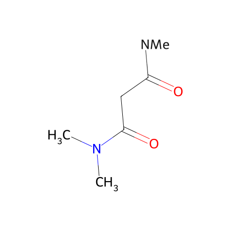 CNC(=O)CC(=O)N(C)C